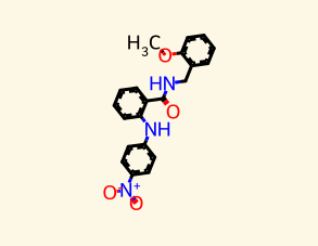 COc1ccccc1CNC(=O)c1ccccc1Nc1ccc([N+](=O)[O-])cc1